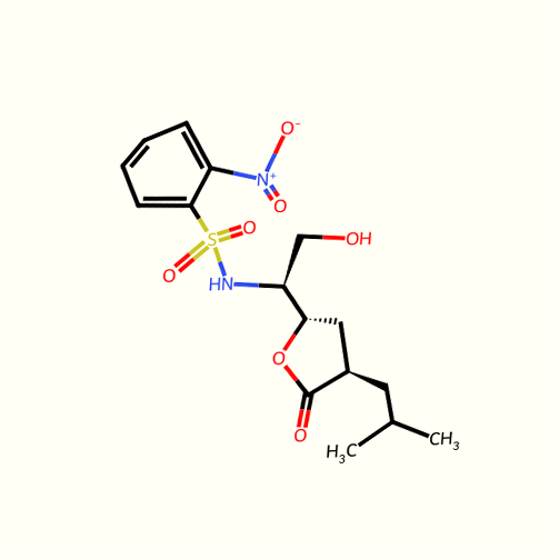 CC(C)C[C@@H]1C[C@@H]([C@H](CO)NS(=O)(=O)c2ccccc2[N+](=O)[O-])OC1=O